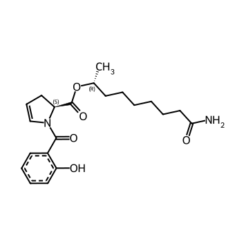 C[C@H](CCCCCCC(N)=O)OC(=O)[C@@H]1CC=CN1C(=O)c1ccccc1O